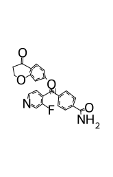 NC(=O)c1ccc([C@H](Oc2ccc3c(c2)OCCC3=O)c2ccncc2F)cc1